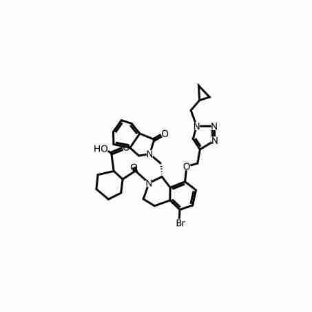 O=C(O)C1CCCCC1C(=O)N1CCc2c(Br)ccc(OCc3cn(CC4CC4)nn3)c2[C@H]1CN1Cc2ccccc2C1=O